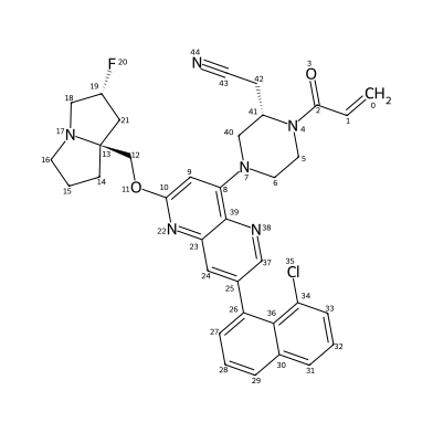 C=CC(=O)N1CCN(c2cc(OC[C@@]34CCCN3C[C@H](F)C4)nc3cc(-c4cccc5cccc(Cl)c45)cnc23)C[C@@H]1CC#N